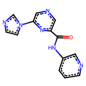 O=C(Nc1cccnc1)c1cncc(-n2ccnc2)n1